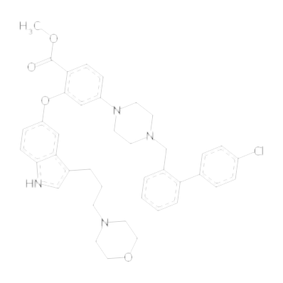 COC(=O)c1ccc(N2CCN(Cc3ccccc3-c3ccc(Cl)cc3)CC2)cc1Oc1ccc2[nH]cc(CCCN3CCOCC3)c2c1